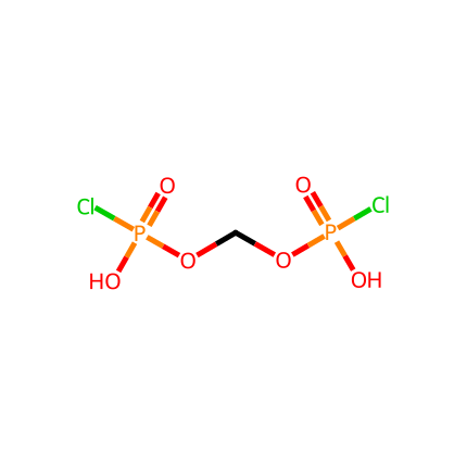 O=P(O)(Cl)OCOP(=O)(O)Cl